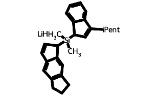 CCCC(C)C1=CC([Si](C)(C)C2C=Cc3cc4c(cc32)CCC4)c2ccccc21.[LiH]